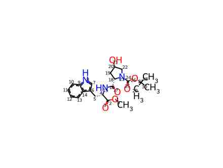 COC(=O)[C@H](Cc1c[nH]c2ccccc12)NC(=O)[C@@H]1CC(O)CN1C(=O)OC(C)(C)C